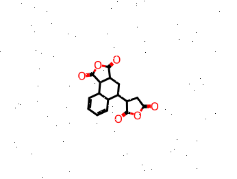 O=C1CC(C2CC3C(=O)OC(=O)C3C3C=CC=CC32)C(=O)O1